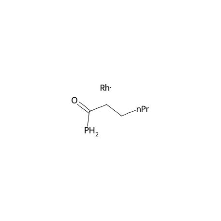 CCCCCC(=O)P.[Rh]